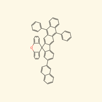 c1ccc(-c2c3ccccc3c(-c3ccccc3)c3cc4c(cc23)-c2ccc(-c3ccc5ccccc5c3)cc2C42c3ccccc3Oc3ccccc32)cc1